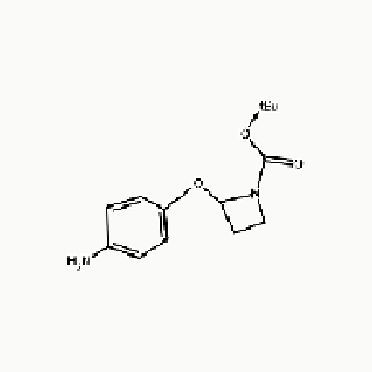 CC(C)(C)OC(=O)N1CCC1Oc1ccc(N)cc1